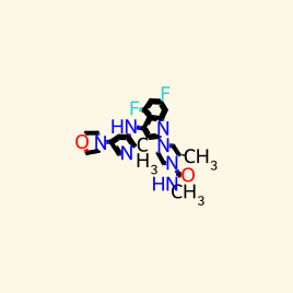 CNC(=O)N1CCN(c2nc3cc(F)cc(F)c3c(Nc3cncc(N4CCOCC4)c3)c2C)C[C@@H]1C